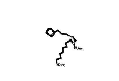 CCCCCCCCCCCCCCCCCc1n(CCCCCCCCCC)cc[n+]1CCCc1ccccc1